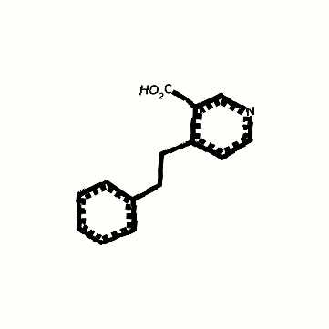 O=C(O)c1cnccc1CCc1ccccc1